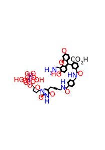 NCc1c(O)ccc2c(-c3cc(C(=O)NCc4ccc(C(=O)NCC#CCc5cn([C@H]6CC[C@@H](COP(OO)(OOO)(P(=O)=O)P(=O)=O)O6)c(=O)[nH]c5=O)cc4)ccc3C(=O)O)c3ccc(=O)cc-3oc12